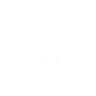 CC(C)(F)/C=N/O